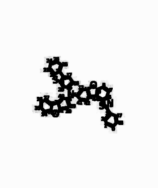 c1ccc(-c2nc3ccc4oc5cc(N(c6ccc7c(c6)sc6ccccc67)c6ccc7oc8ccccc8c7c6)ccc5c4c3s2)cc1